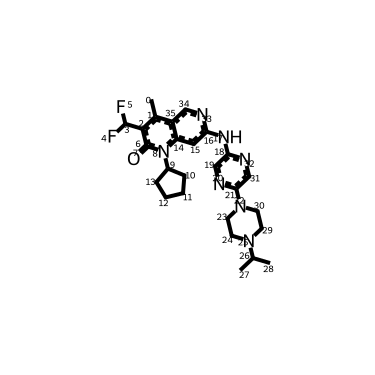 Cc1c(C(F)F)c(=O)n(C2CCCC2)c2cc(Nc3cnc(N4CCN(C(C)C)CC4)cn3)ncc12